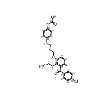 CCCc1c(OCCCSc2ccc(CC(=O)O)cc2)cccc1C(=O)c1ccc(Cl)cc1